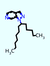 CCCCCCCC(CCCCC)n1ncc2ccncc21